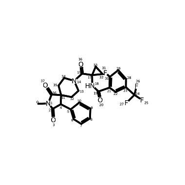 CN1C(=O)C(c2ccccc2)C2(CCN(C(=O)C3(NC(=O)c4cc(C(F)(F)F)ccc4F)CC3)CC2)C1=O